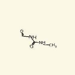 CCNC(=O)N[C]=O